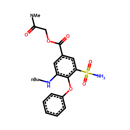 CCCCNc1cc(C(=O)OCC(=O)NC)cc(S(N)(=O)=O)c1Oc1ccccc1